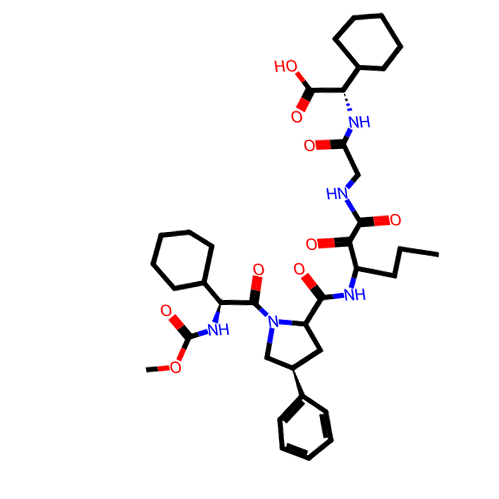 CCCC(NC(=O)C1C[C@@H](c2ccccc2)CN1C(=O)[C@@H](NC(=O)OC)C1CCCCC1)C(=O)C(=O)NCC(=O)N[C@H](C(=O)O)C1CCCCC1